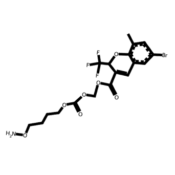 Cc1cc(Br)cc2c1OC(C(F)(F)F)C(C(=O)OCOC(=O)OCCCCON)=C2